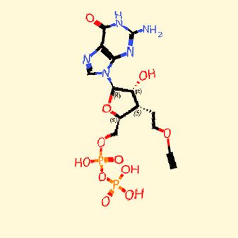 C#COCC[C@H]1[C@@H](O)[C@H](n2cnc3c(=O)[nH]c(N)nc32)O[C@@H]1COP(=O)(O)OP(=O)(O)O